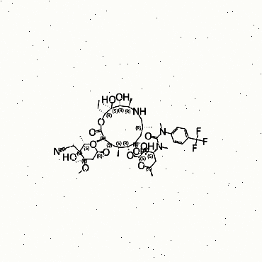 CC[C@H]1OC(=O)[C@H](C)[C@@H](O[C@H]2C[C@@](C)(OC)[C@](O)(CC#N)[C@H](C)O2)[C@H](C)[C@@H](O[C@@H]2O[C@H](C)C[C@H](N(C)C(=O)N(C)c3ccc(C(F)(F)F)cc3)[C@H]2O)[C@](C)(O)C[C@@H](C)CN[C@H](C)[C@@H](O)[C@]1(C)O